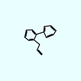 C=CCc1ccccc1-c1[c]cccc1